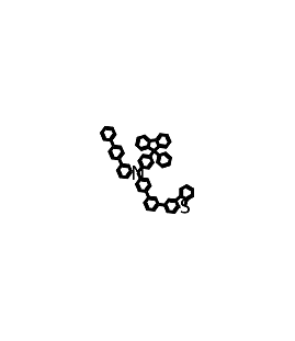 c1ccc(-c2ccc(-c3cccc(N(c4ccc(-c5cccc(-c6ccc7sc8ccccc8c7c6)c5)cc4)c4ccc(C5(c6ccccc6)c6ccccc6-c6ccccc65)cc4)c3)cc2)cc1